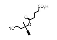 C#CC(C)(CCC#N)OC(=O)CCCC(=O)O